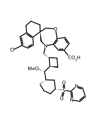 CO[C@@H]([C@H]1CCC[C@@H](S(=O)(=O)c2ncccn2)C1)[C@@H]1CC[C@H]1CN1C[C@@]2(CCCc3cc(Cl)ccc32)COc2ccc(C(=O)O)cc21